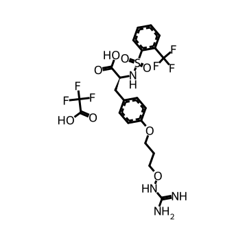 N=C(N)NOCCCOc1ccc(C[C@H](NS(=O)(=O)c2ccccc2C(F)(F)F)C(=O)O)cc1.O=C(O)C(F)(F)F